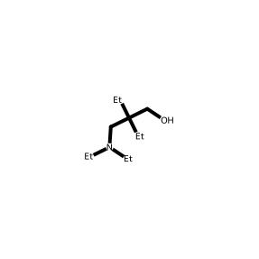 CCN(CC)CC(CC)(CC)CO